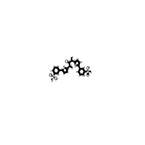 CC(C(=O)C(C)c1ccc(-c2cccc(S(C)(=O)=O)c2)s1)c1ccc(-c2cccc(S(C)(=O)=O)c2)s1